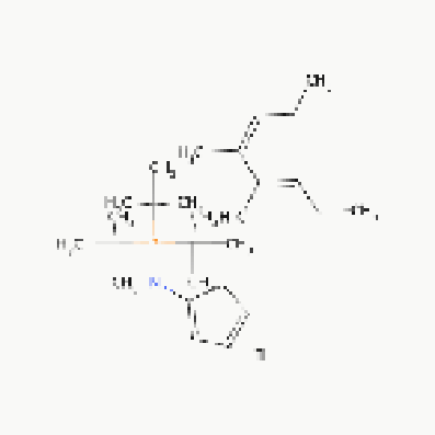 CC(C)(C)P(=NC1=CC=CC1)(C(C)(C)C)C(C)(C)C.CCC=C(C)C(C)=CCC.[Ti]